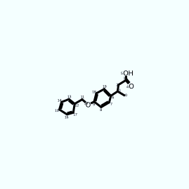 CC(CC(=O)O)c1ccc(OCc2ccccc2)cc1